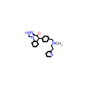 CN(CCc1ccccn1)Cc1ccc(C2C(=O)C3=NNCN3c3ccccc32)cc1